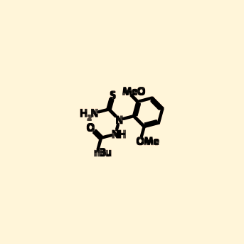 CCCCC(=O)NN(C(N)=S)c1c(OC)cccc1OC